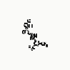 O=C1CCN(C(=O)C=Cn2cnc(-c3cc(C(F)(F)F)cc(C(F)(F)F)c3)n2)N1